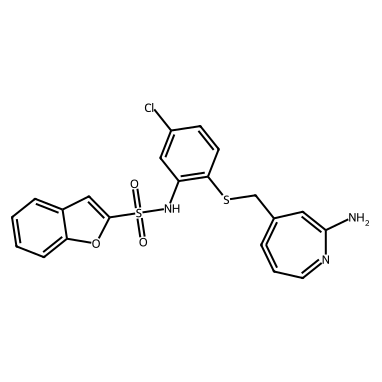 NC1=CC(CSc2ccc(Cl)cc2NS(=O)(=O)c2cc3ccccc3o2)=C=CC=N1